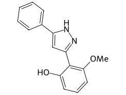 COc1cccc(O)c1-c1cc(-c2ccccc2)[nH]n1